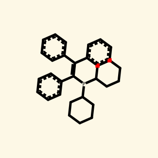 c1ccc(C(=C(c2ccccc2)P(C2CCCCC2)C2CCCCC2)c2ccccc2)cc1